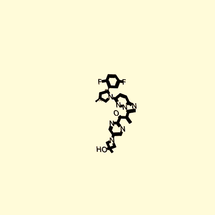 C=C(C(=O)c1ncc(N2CC(C)(O)C2)cn1)c1cnc2ccc(N3C[C@@H](C)C[C@@H]3c3cc(F)ccc3F)nn12